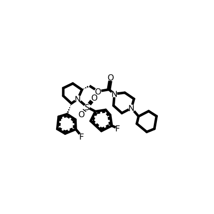 O=C(OC[C@H]1CCC[C@@H](c2cccc(F)c2)N1S(=O)(=O)c1ccc(F)cc1)N1CCN(C2CCCCC2)CC1